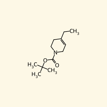 CCC1=CCN(C(=O)OC(C)(C)C)CC1